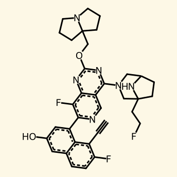 C#Cc1c(F)ccc2cc(O)cc(-c3ncc4c(N5CC6CCC(CCF)(C5)N6)nc(OCC56CCCN5CCC6)nc4c3F)c12